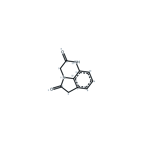 O=C1CN2C(=O)Cc3cccc(c32)N1